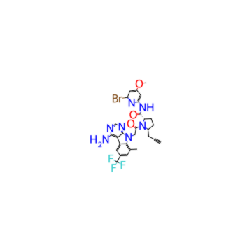 C#CC[C@@H]1CC[C@@H](C(=O)Nc2cc(OC)cc(Br)n2)N1C(=O)Cn1c2ncnc(N)c2c2cc(C(F)(F)F)cc(C)c21